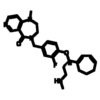 CNCC[C@H](Oc1ccc(CN2CCN(C)c3ccncc3C2=O)cc1F)C1=CC=CCCC1